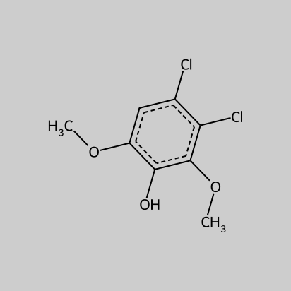 COc1cc(Cl)c(Cl)c(OC)c1O